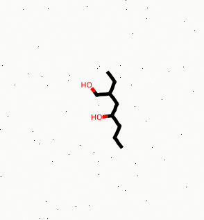 CCCC(O)CC(CC)CO